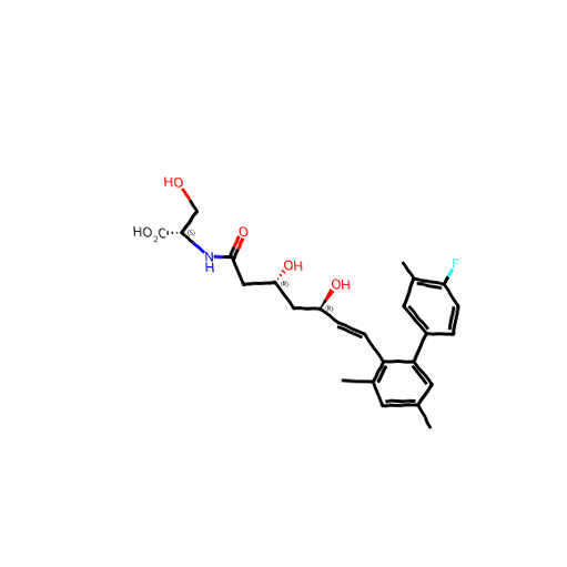 Cc1cc(C)c(C=C[C@H](O)C[C@@H](O)CC(=O)N[C@@H](CO)C(=O)O)c(-c2ccc(F)c(C)c2)c1